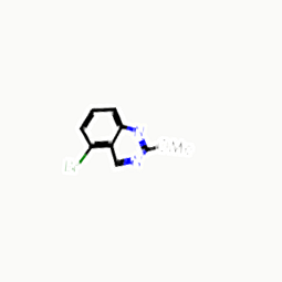 COc1ncc2c(Br)cccc2n1